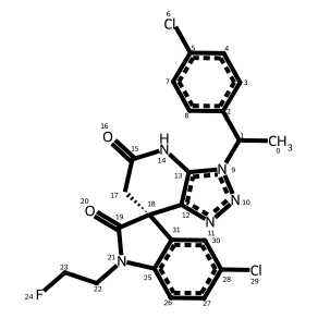 CC(c1ccc(Cl)cc1)n1nnc2c1NC(=O)C[C@]21C(=O)N(CCF)c2ccc(Cl)cc21